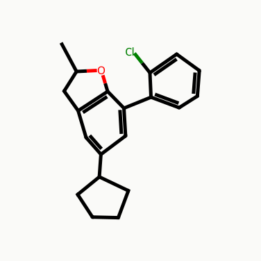 CC1Cc2cc(C3CCCC3)cc(-c3ccccc3Cl)c2O1